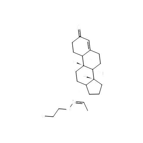 CC(=NOCCBr)[C@H]1CC[C@H]2[C@@H]3CCC4=CC(=O)CC[C@]4(C)[C@H]3CC[C@]12C